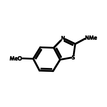 CNc1nc2cc(OC)ccc2s1